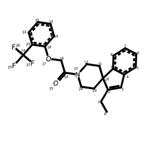 CCC1=Cc2ccccc2C12CCN(C(=O)COc1ccccc1C(F)(F)F)CC2